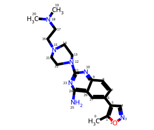 Cc1oncc1-c1ccc2nc(N3CCN(CCN(C)C)CC3)nc(N)c2c1